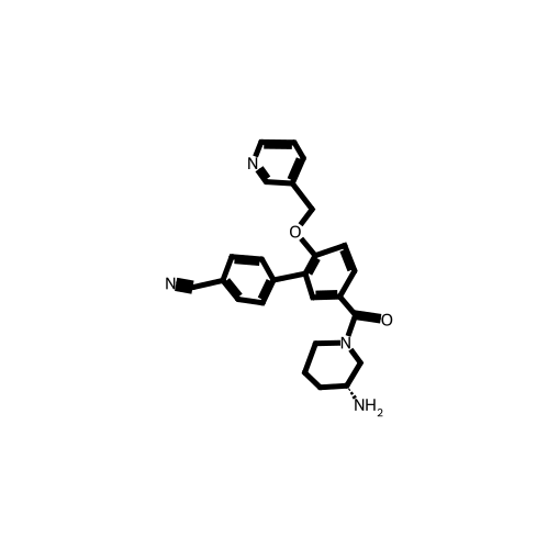 N#Cc1ccc(-c2cc(C(=O)N3CCC[C@@H](N)C3)ccc2OCc2cccnc2)cc1